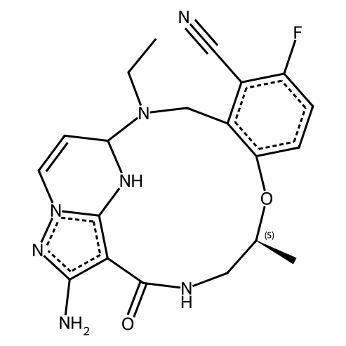 CCN1Cc2c(ccc(F)c2C#N)O[C@@H](C)CNC(=O)c2c(N)nn3c2NC1C=C3